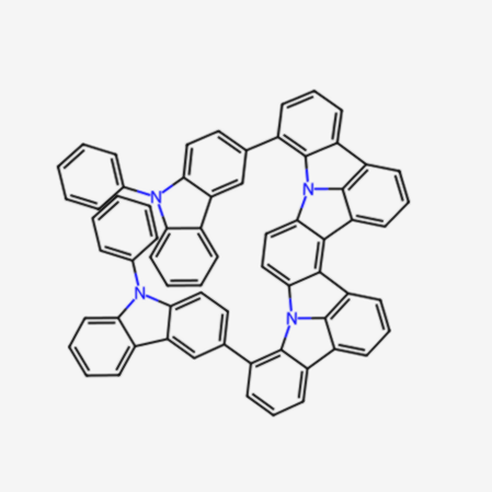 c1ccc(-n2c3ccccc3c3cc(-c4cccc5c6cccc7c8c9c%10cccc%11c%12cccc(-c%13ccc%14c(c%13)c%13ccccc%13n%14-c%13ccccc%13)c%12n(c9ccc8n(c45)c67)c%11%10)ccc32)cc1